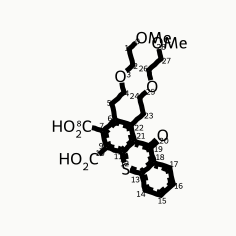 COCCOCCc1c(C(=O)O)c(C(=O)O)c2sc3ccccc3c(=O)c2c1CCOCCOC